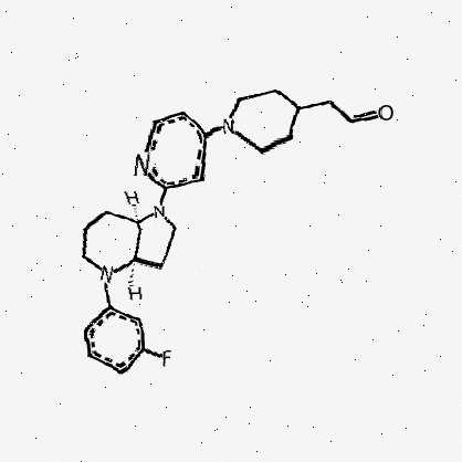 O=CCC1CCN(c2ccnc(N3CC[C@@H]4[C@H]3CCCN4c3cccc(F)c3)c2)CC1